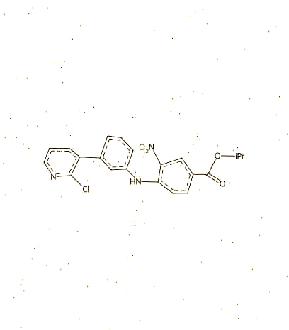 CC(C)OC(=O)c1ccc(Nc2cccc(-c3cccnc3Cl)c2)c([N+](=O)[O-])c1